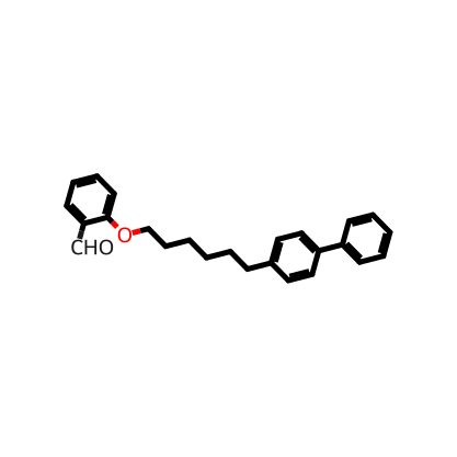 O=Cc1ccccc1OCCCCCCc1ccc(-c2ccccc2)cc1